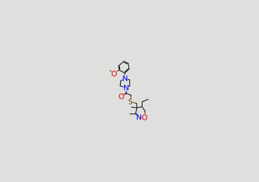 CCC1CON=C(C)C1(C)CSCC(=O)N1CCN(c2ccccc2OC)CC1